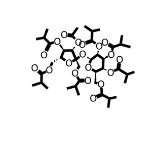 CC(=O)O[C@H]1[C@H](OC(=O)C(C)C)[C@@H](COC(=O)C(C)C)O[C@@]1(COC(=O)C(C)C)O[C@H]1O[C@H](COC(=O)C(C)C)[C@@H](OC(=O)C(C)C)[C@H](OC(=O)C(C)C)[C@H]1OC(=O)C(C)C